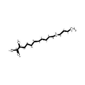 CCCCCCCCCCCCCCC(Cl)C([O])=O